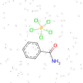 ClP(Cl)(Cl)(Cl)Cl.NC(=O)c1ccccc1